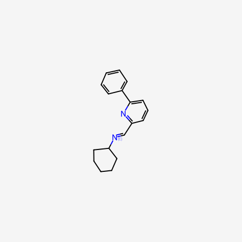 C(=N\C1CCCCC1)/c1cccc(-c2ccccc2)n1